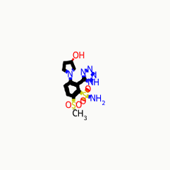 CS(=O)(=O)c1ccc(N2CC[C@@H](O)C2)c(-c2nnn[nH]2)c1S(N)(=O)=O